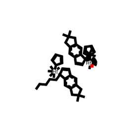 CC1(C)Cc2cc3c(cc2C1)[C](C(C)(C)C)([Hf]([CH3])([CH3])([CH3])([CH3])([CH3])([CH3])([CH3])([CH3])([CH3])[CH]1C=CC=C1)C=C3.CCCCC[C]1([Hf]([CH3])([CH3])([CH3])([CH3])([CH3])[CH]2C=CC=C2)C=Cc2cc3c(cc21)CC(C)(C)C3